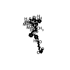 CC[C@H](C)[C@@H]([C@@H](CC(=O)N1CCC[C@H]1[C@H](OC)[C@@H](C)C(=O)N[C@H](CNc1ccc(CNC(=O)CCCCCN2C(=O)C=CC2=O)cc1)Cc1ccccc1)OC)N(C)C(=O)[C@@H](CC(=O)[C@H]1N[C@@H]2CC[C@H]1C2)C(C)C